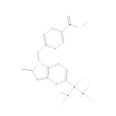 COC(=O)c1ccc(Cn2c(C)cc3cc(C(O)(C(F)(F)F)C(F)(F)F)ccc32)cc1